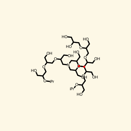 CC(C)OC(CO)COC(CO)COC(CO)CN(CC(CO)OCC(CO)OCC(CO)OCC(O)CO)CC(CO)OCC(CO)OCC(CO)OC(C)C